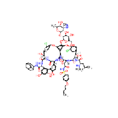 CCCCOc1ccc(S(=O)(=O)NC(=O)C[C@@H]2NC(=O)[C@H](NC(=O)[C@@H](CC(C)C)NC)[C@H](O)c3ccc(c(Cl)c3)Oc3cc4cc(c3O[C@@H]3O[C@H](CO)[C@@H](O)[C@H](O)[C@H]3O[C@H]3C[C@](C)(N)[C@H](O)[C@H](C)O3)Oc3ccc(cc3Cl)[C@@H](O)[C@@H]3NC(=O)[C@H](NC(=O)[C@@H]4NC2=O)c2ccc(O)c(c2)-c2c(O)cc(O)cc2[C@@H](C(=O)NC2C4CC5CC(C4)CC2C5)NC3=O)cc1